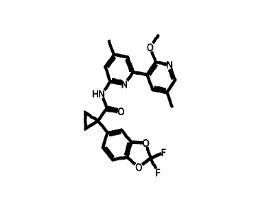 COc1ncc(C)cc1-c1cc(C)cc(NC(=O)C2(c3ccc4c(c3)OC(F)(F)O4)CC2)n1